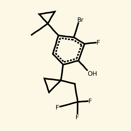 CC1(c2cc(C3(CC(F)(F)F)CC3)c(O)c(F)c2Br)CC1